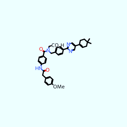 COc1ccc(CC(=O)Nc2ccc(C(=O)N(CC(=O)O)Cc3ccc(-c4ncc(C5=CCC(C)(C)CC5)cn4)cc3)cc2)cc1